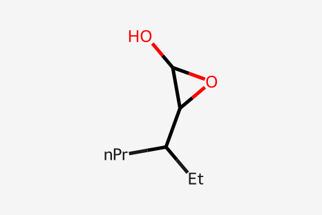 CCCC(CC)C1OC1O